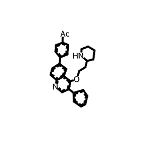 CC(=O)c1ccc(-c2ccc3ncc(-c4ccccc4)c(OCCC4CCCCN4)c3c2)cc1